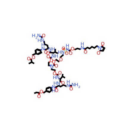 CCC(=O)OCc1ccc(NC(=O)C(CCCNC(N)=O)NC(=O)[C@@H](NC(=O)OCCN(CCOC(=O)N[C@H](C(=O)NC(CCCNC(N)=O)C(=O)Nc2ccc(COC(=O)C(C)C)cc2)C(C)C)C(=O)OCCOCCNS(=O)(=O)NC(=O)OCCCNC(=O)CCCCCN2C(=O)C=CC2=O)C(C)C)cc1